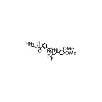 COc1ccc(C2CC(C(F)F)n3nc(-c4cccc(C(=O)NCC5CNC5)c4)cc3N2)cc1OC